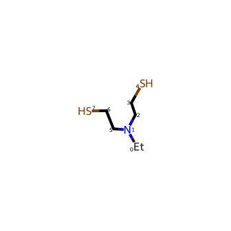 CCN(CCS)CCS